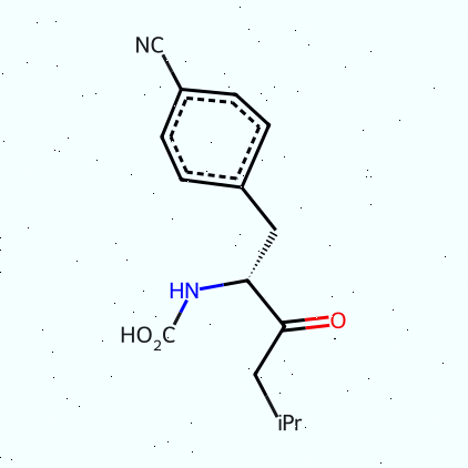 CC(C)CC(=O)[C@@H](Cc1ccc(C#N)cc1)NC(=O)O